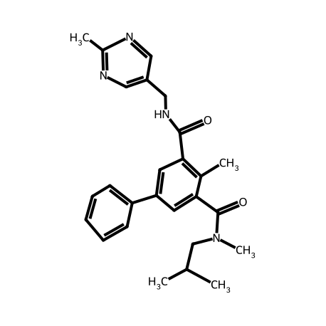 Cc1ncc(CNC(=O)c2cc(-c3ccccc3)cc(C(=O)N(C)CC(C)C)c2C)cn1